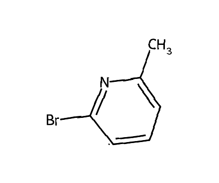 Cc1cc[c]c(Br)n1